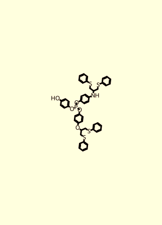 Oc1ccc(OP(Oc2ccc(NC(CSc3ccccc3)CSc3ccccc3)cc2)Oc2ccc(OC(CSc3ccccc3)CSc3ccccc3)cc2)cc1